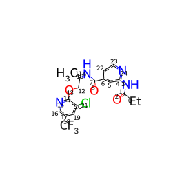 CCC(=O)Nc1cc(C(=O)NC(C)COc2ncc(C(F)(F)F)cc2Cl)ccn1